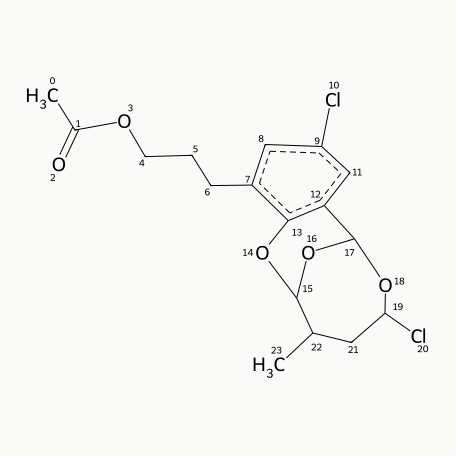 CC(=O)OCCCc1cc(Cl)cc2c1OC1OC2OC(Cl)CC1C